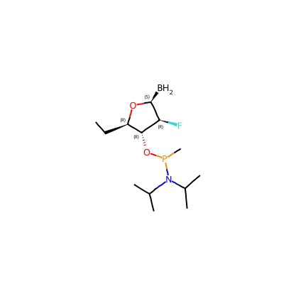 B[C@@H]1O[C@H](CC)[C@@H](OP(C)N(C(C)C)C(C)C)[C@@H]1F